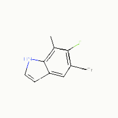 C[CH]c1cc2cc[nH]c2c(C)c1F